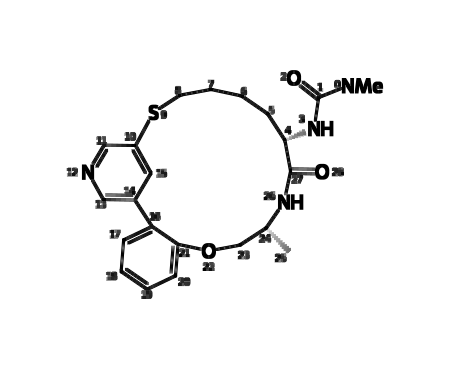 CNC(=O)N[C@H]1CCCCSc2cncc(c2)-c2ccccc2OC[C@@H](C)NC1=O